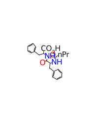 CCCC(=O)NC(Cc1ccccc1)C(=O)NC(Cc1ccccc1)C(=O)O